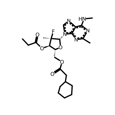 CCC(=O)O[C@@H]1[C@@H](COC(=O)CC2CCCCC2)O[C@@H](n2cnc3c(NC)nc(C)nc32)[C@]1(C)F